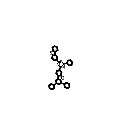 c1ccc(-c2cc(-c3ccccc3)c3oc4cc(-c5nc(-c6ccccc6)nc(-c6ccc7sc8ccccc8c7c6)n5)ccc4c3c2)cc1